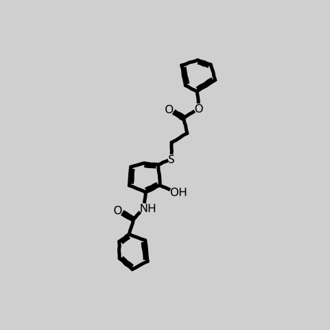 O=C(CCSc1cccc(NC(=O)c2ccccc2)c1O)Oc1ccccc1